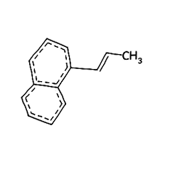 C/C=C/c1cccc2ccccc12